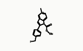 C[n+]1ccc2c(cc(-c3ccc(CF)cc3)n2C(=O)OC(C)(C)C)c1